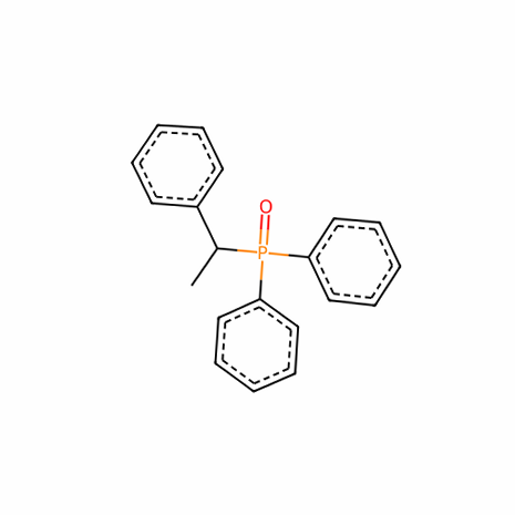 CC(c1ccccc1)P(=O)(c1ccccc1)c1ccccc1